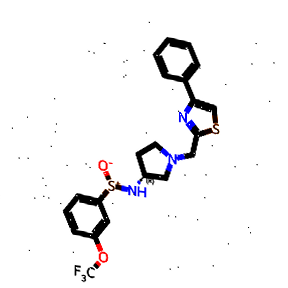 [O-][S+](N[C@@H]1CCN(Cc2nc(-c3ccccc3)cs2)C1)c1cccc(OC(F)(F)F)c1